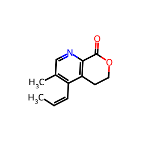 C/C=C\c1c(C)cnc2c1CCOC2=O